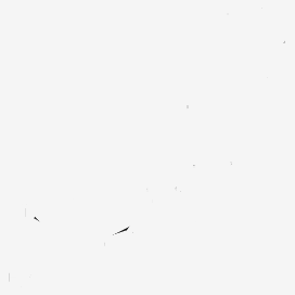 B[C@H]1S[C@H](COC(=O)c2ccc(-c3ccccc3)cc2)C[C@@H]1F